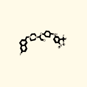 O=CC(OC1CCC(Nc2ccc([N+](=O)[O-])c(C(F)(F)F)c2)CC1)N1CCN(Cc2ccc3cc(F)ccc3c2)CC1